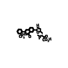 CN(C)[C@H](CC1CNC(c2ccc3cc(-c4ccccc4C(F)(F)F)[nH]c(=O)c3c2)O1)C(=O)C(=O)O